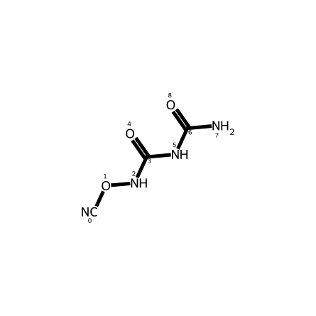 N#CONC(=O)NC(N)=O